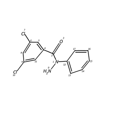 NN(C(=O)c1cc(Cl)cc(Cl)c1)c1ccccc1